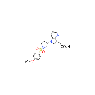 CC(C)Oc1ccc(S(=O)(=O)N2CC[C@H](n3cc(CC(=O)O)c4ncccc43)C2)cc1